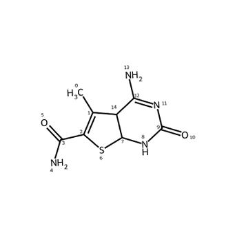 CC1=C(C(N)=O)SC2NC(=O)N=C(N)C12